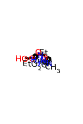 CCOC(=O)c1c(C)nc2cccc(OC[C@H](CC)NC(=O)c3ccc(OCCCO)c(OC)c3)c2c1N